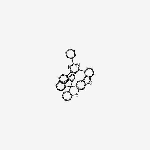 c1ccc(-c2cc(-c3cccc4oc5cc6c(cc5c34)C3(c4ccccc4S6)c4ccccc4-c4ccccc43)nc(-c3ccccc3)n2)cc1